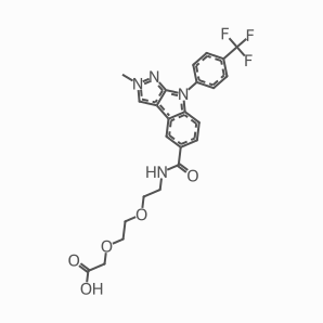 Cn1cc2c3cc(C(=O)NCCOCCOCC(=O)O)ccc3n(-c3ccc(C(F)(F)F)cc3)c2n1